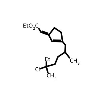 CCOC(=O)/C=C1/C=C(CC(C)CCC(C)(Cl)CC)CC1